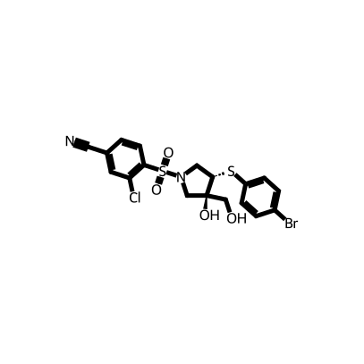 N#Cc1ccc(S(=O)(=O)N2C[C@H](Sc3ccc(Br)cc3)[C@](O)(CO)C2)c(Cl)c1